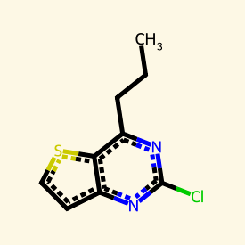 CCCc1nc(Cl)nc2ccsc12